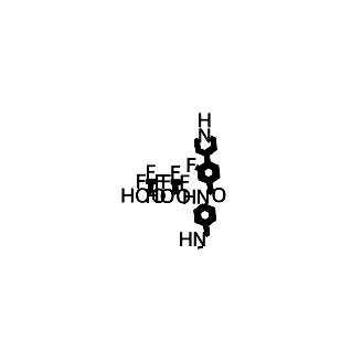 CNCc1ccc(NC(=O)c2ccc(C3=CCNCC3)c(F)c2)cc1.O=C(O)C(F)(F)F.O=C(O)C(F)(F)F